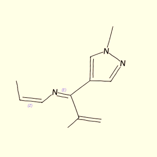 C=C(C)/C(=N\C=C/C)c1cnn(C)c1